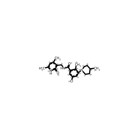 Cc1cc(C)c(CNC(=O)c2cc(Cl)cc(N3CCC(C)CC3)c2C)c(=O)[nH]1